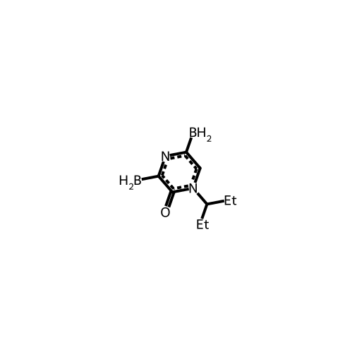 Bc1cn(C(CC)CC)c(=O)c(B)n1